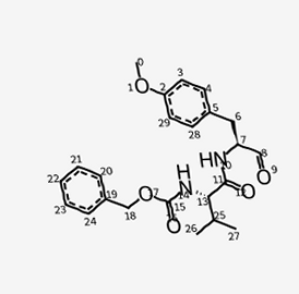 COc1ccc(C[C@@H](C=O)NC(=O)[C@@H](NC(=O)OCc2ccccc2)C(C)C)cc1